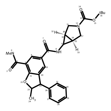 CNC(=O)c1cc(C(=O)NC2[C@H]3CN(C(=O)OC(C)(C)C)C[C@@H]23)cc2c1OC(C)C2c1ccccc1